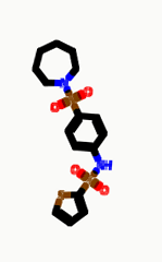 O=S(=O)(Nc1ccc(S(=O)(=O)N2CCCCCC2)cc1)c1cccs1